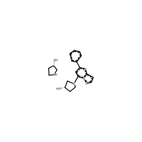 O[C@H]1CCN(c2cc(-c3ccccc3)nc3ccnn23)C1.O[C@H]1CCNC1